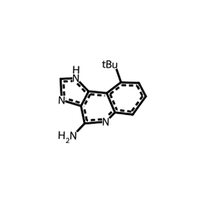 CC(C)(C)c1cccc2nc(N)c3nc[nH]c3c12